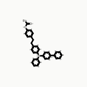 CCC(=O)Oc1ccc(CCc2ccc(N(c3ccccc3)c3ccc(-c4ccccc4)cc3)cc2)cc1